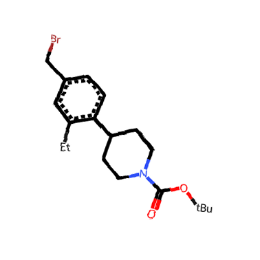 CCc1cc(CBr)ccc1C1CCN(C(=O)OC(C)(C)C)CC1